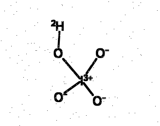 [2H]O[I+3]([O-])([O-])[O-]